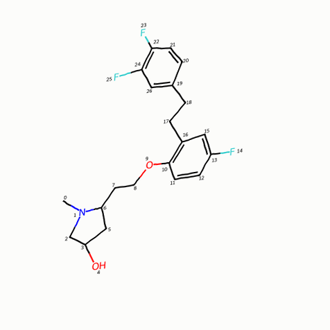 CN1CC(O)CC1CCOc1ccc(F)cc1CCc1ccc(F)c(F)c1